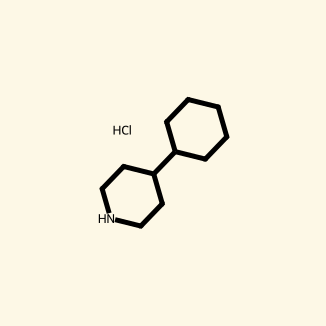 C1CCC(C2CCNCC2)CC1.Cl